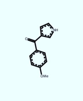 COc1ccc(C(=O)c2cc[nH]c2)cc1